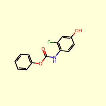 O=C(Nc1ccc(O)cc1F)Oc1ccccc1